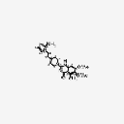 COc1cc2[nH]c(N3CCC(CCn4ccnc4N)CC3)nc(=O)c2c(C)c1OC